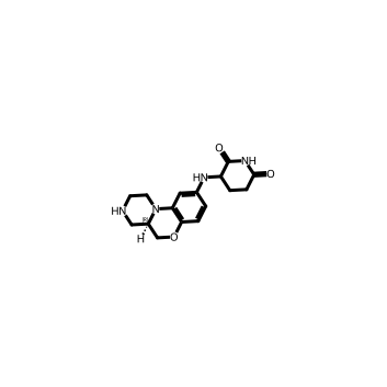 O=C1CCC(Nc2ccc3c(c2)N2CCNC[C@@H]2CO3)C(=O)N1